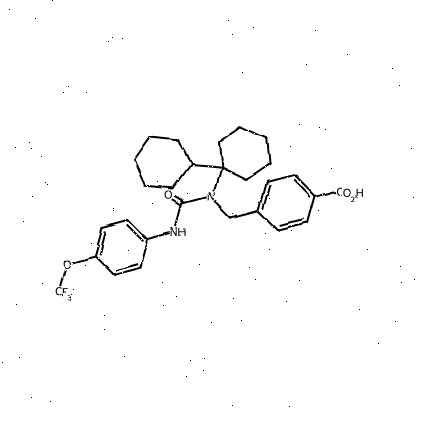 O=C(O)c1ccc(CN(C(=O)Nc2ccc(OC(F)(F)F)cc2)C2(C3CCCCC3)CCCCC2)cc1